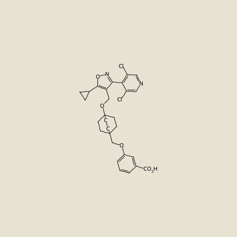 O=C(O)c1cccc(OCC23CCC(OCc4c(-c5c(Cl)cncc5Cl)noc4C4CC4)(CC2)CC3)c1